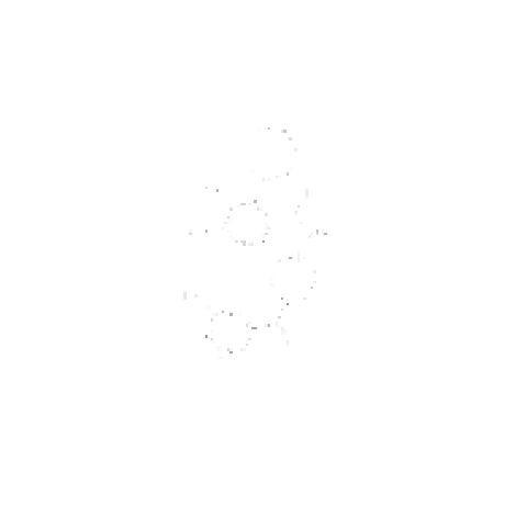 Cc1cc(C)cc(C(=O)N2CCN(C(=O)CNC3CCCCCC3)[C@H](c3ccc(Cl)c(Cl)c3)C2)c1